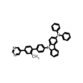 Cc1cc(-c2cncnc2)ccc1-c1ccc(-n2c3ccccc3c3cc(N(c4ccccc4)c4ccccc4)ccc32)cc1